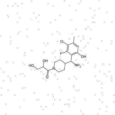 Cc1cc(O)c(C(N)C2CCN(C(=O)C(O)CO)CC2)c(F)c1Cl